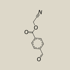 N#CCOC(=O)c1ccc(C=O)cc1